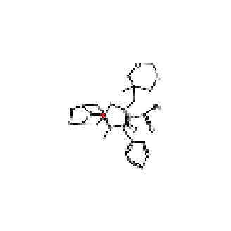 CC(C)C(=O)N[C@@H](CCN1C2CCC1CC1(C2)CN(CC2(C)COCOC2)C(=O)N1C)c1ccccc1